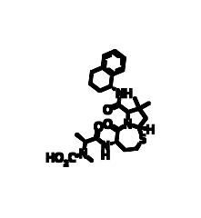 C[C@@H](C(=O)N[C@H]1CCS[C@H]2CC(C)(C)C(C(=O)N[C@@H]3CCCc4ccccc43)N2C1=O)N(C)C(=O)O